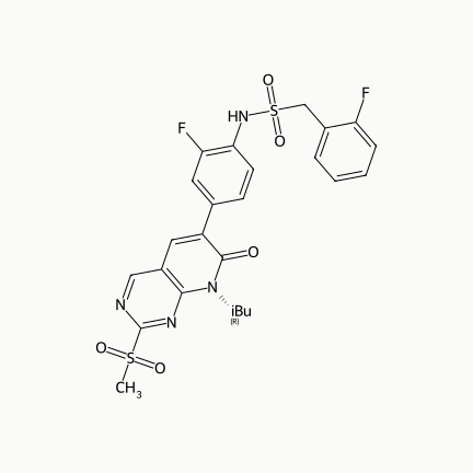 CC[C@@H](C)n1c(=O)c(-c2ccc(NS(=O)(=O)Cc3ccccc3F)c(F)c2)cc2cnc(S(C)(=O)=O)nc21